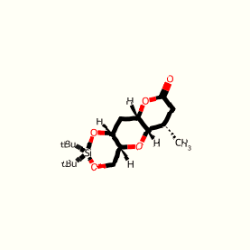 C[C@H]1CC(=O)O[C@H]2C[C@H]3O[Si](C(C)(C)C)(C(C)(C)C)OC[C@H]3O[C@H]21